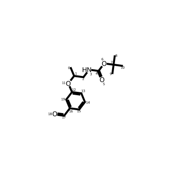 CC(CNC(=O)OC(C)(C)C)Oc1cccc(C=O)c1